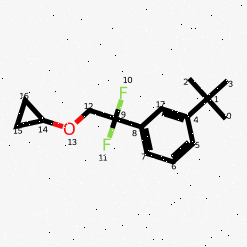 CC(C)(C)c1cccc(C(F)(F)COC2CC2)c1